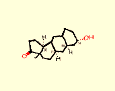 CC12CC[C@@H]3C[C@@H]4C[C@@H](O)CCC4CC3[C@@H]1CCC2=O